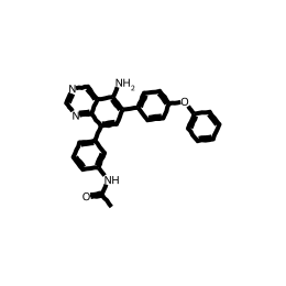 CC(=O)Nc1cccc(-c2cc(-c3ccc(Oc4ccccc4)cc3)c(N)c3cncnc23)c1